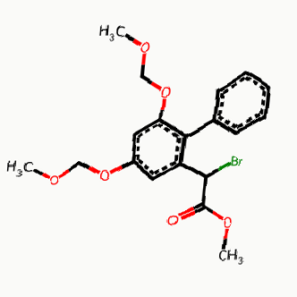 COCOc1cc(OCOC)c(-c2ccccc2)c(C(Br)C(=O)OC)c1